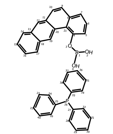 OB(O)Oc1cccc2ccc3cc4ccccc4cc3c12.c1ccc(P(c2ccccc2)c2ccccc2)cc1